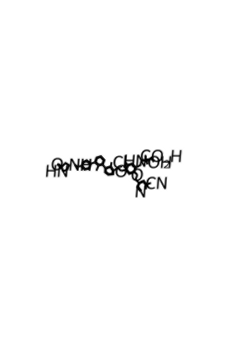 Cc1c(COc2cc(OCc3cncc(C#N)c3)c(CNC(C)(CO)C(=O)O)cc2Cl)cccc1-c1cccc(-c2ccc(CNC3CNC(=O)C3)cc2)c1C